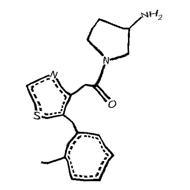 Cc1ccccc1-c1scnc1C(=O)N1CCC(N)C1